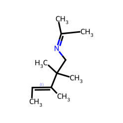 C/C=C(\C)C(C)(C)CN=C(C)C